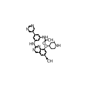 C#Cc1cc(OC2CCNCC2)c2nc(Nc3cc(NC(C)=O)cc(-c4cncnc4)c3)ncc2c1